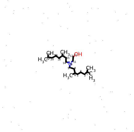 CC(C)CCCC(C)CCN(CCO)CCC(C)CCCC(C)C